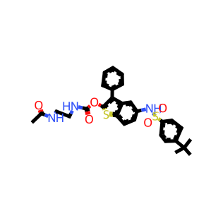 CC(=O)NCCNC(=O)Oc1sc2ccc(NS(=O)(=O)c3ccc(C(C)(C)C)cc3)cc2c1-c1ccccc1